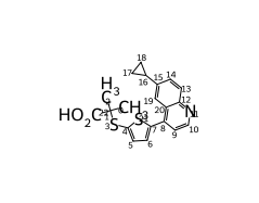 CC(C)(Sc1ccc(-c2ccnc3ccc(C4CC4)cc23)s1)C(=O)O